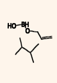 C=CCOBO.CC(C)C(C)C